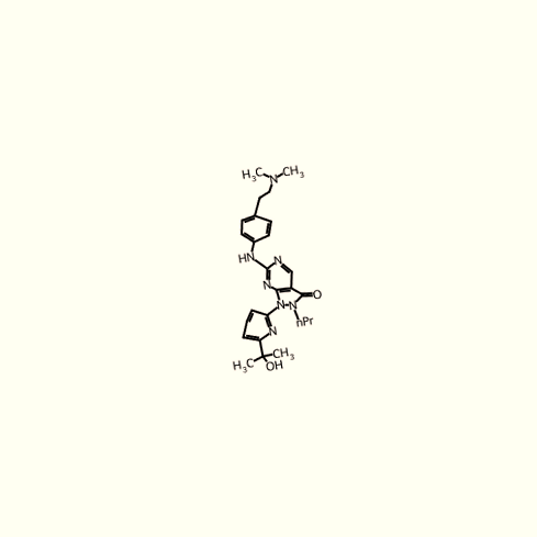 CCCn1c(=O)c2cnc(Nc3ccc(CCN(C)C)cc3)nc2n1-c1cccc(C(C)(C)O)n1